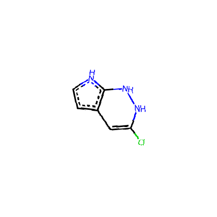 ClC1=Cc2cc[nH]c2NN1